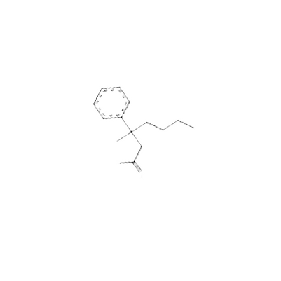 CCCCC(C)(CC(=O)O)c1ccccc1